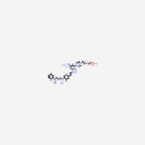 Nc1cc(N2CCN(CCOCCO)CC2)nc(NCCC2CCC(NCCCNC3CCCCC3)CC2)n1